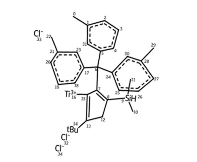 Cc1cccc(C(C2=C([SiH](C)C)CC(C(C)(C)C)=[C]2[Ti+3])(c2cccc(C)c2)c2cccc(C)c2)c1.[Cl-].[Cl-].[Cl-]